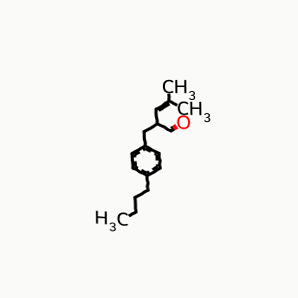 CCCCc1ccc(CC(C=O)C=C(C)C)cc1